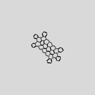 c1ccc2c(c1)B1c3ccccc3C3c4ccccc4B4CN5CB6CN7c8ccccc8B8c9ccccc9N9c%10ccccc%10B%10CN%11CB%12CC2c2c1c3c4c1c5c3c6c4c7c8c9c%10c4c%11c3c%12c21